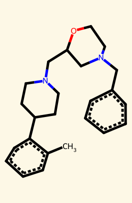 Cc1ccccc1C1CCN(CC2CN(Cc3ccccc3)CCO2)CC1